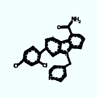 NC(=O)c1cccc2c1c1[c]cc(-c3ccc(Cl)cc3Cl)cc1n2Cc1ccncc1